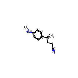 C=C(CCC#N)c1ccc(NC)cc1